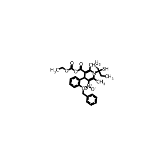 CCOC(=O)OC(=O)C1=C(C)N(C(C)(S)CC)C(C)=C([N+](=O)[O-])C1c1ccccc1OCc1ccccc1